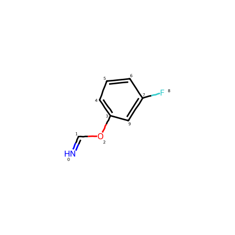 N=COc1cccc(F)c1